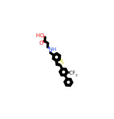 O=C(CO)CCNCc1ccc2sc(-c3ccc(-c4ccccc4)c(C(F)(F)F)c3)cc2c1